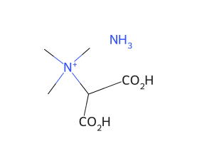 C[N+](C)(C)C(C(=O)O)C(=O)O.N